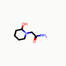 NC(=O)CN1CCCCC1O